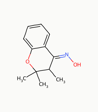 CC1C(=NO)c2ccccc2OC1(C)C